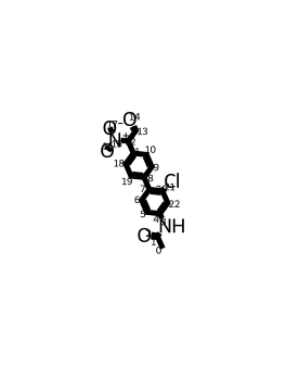 CC(=O)Nc1ccc(-c2ccc(C(C=O)[N+](=O)[O-])cc2)c(Cl)c1